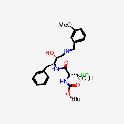 COc1cccc(CNC[C@@H](O)[C@H](Cc2ccccc2)NC(=O)[C@H](CC(=O)O)NC(=O)OC(C)(C)C)c1.Cl